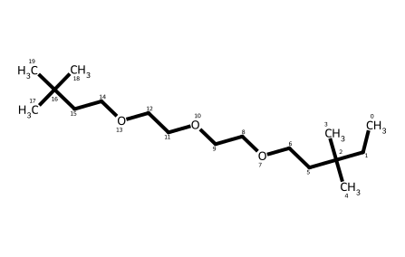 CCC(C)(C)CCOCCOCCOCCC(C)(C)C